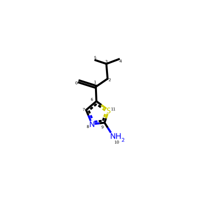 C=C(CC(C)C)c1cnc(N)s1